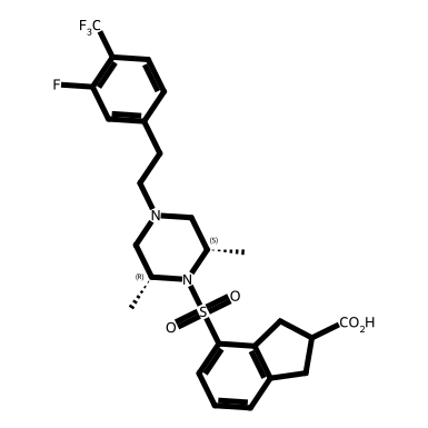 C[C@@H]1CN(CCc2ccc(C(F)(F)F)c(F)c2)C[C@H](C)N1S(=O)(=O)c1cccc2c1CC(C(=O)O)C2